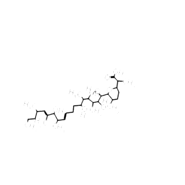 CCCC(C)/C=C(\C)C(O)C(C)/C=C/CCC(O)C(C)C(O)C(C)C(O)C(C)C1OC(C(C)C(=O)O)CCC1C